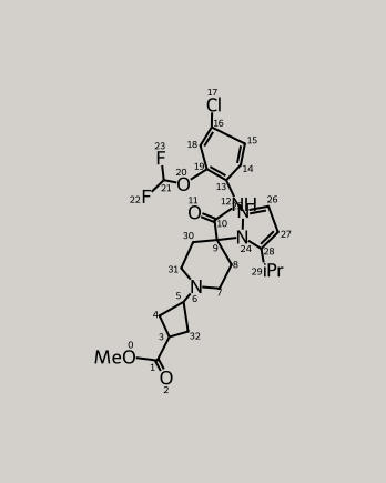 COC(=O)C1CC(N2CCC(C(=O)Nc3ccc(Cl)cc3OC(F)F)(n3nccc3C(C)C)CC2)C1